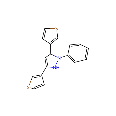 C1=C(c2ccsc2)NN(c2ccccc2)C1c1ccsc1